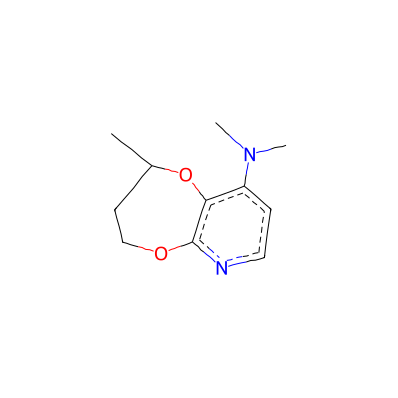 CC1CCOc2nccc(N(C)C)c2O1